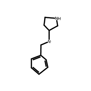 c1ccc(C[N]C2CCNC2)cc1